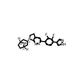 Fc1c(-c2cn[nH]c2)ccc(-c2cc3c(nn2)N([C@@H]2C[C@H]4CC[C@@H](C2)N4)CC3)c1F